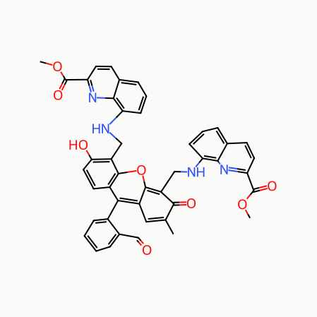 COC(=O)c1ccc2cccc(NCc3c4oc5c(CNc6cccc7ccc(C(=O)OC)nc67)c(O)ccc5c(-c5ccccc5C=O)c-4cc(C)c3=O)c2n1